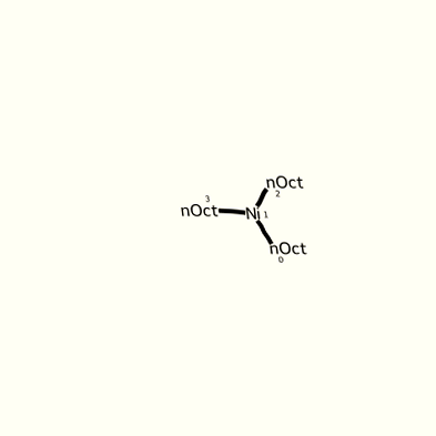 CCCCCCC[CH2][Ni]([CH2]CCCCCCC)[CH2]CCCCCCC